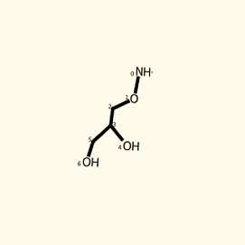 [NH]OCC(O)CO